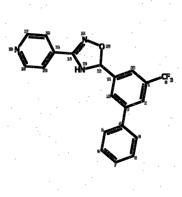 FC(F)(F)c1cc(-c2ccccc2)cc(C2NC(c3ccncc3)=NO2)c1